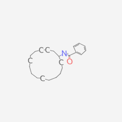 O=C([N]C1CCCCCCCCCCCCCCC1)c1ccccc1